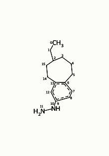 CCC1CCCc2ccc(NN)cc2CC1